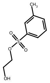 Cc1cccc(S(=O)(=O)OCCO)c1